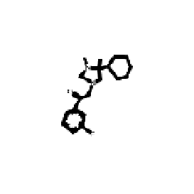 CN1CN(CC(=O)c2cccc(F)c2)CC1(C)C1CCCCC1